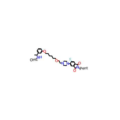 CCCC(C)N1C(=O)c2cc(F)c(N3CCN(CCOCCCCCCOc4cccc(C(C)NC=O)c4)CC3)cc2C1=O